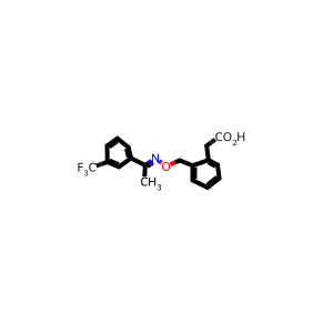 C/C(=N\OCc1ccccc1CC(=O)O)c1cccc(C(F)(F)F)c1